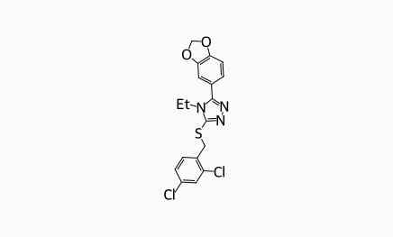 CCn1c(SCc2ccc(Cl)cc2Cl)nnc1-c1ccc2c(c1)OCO2